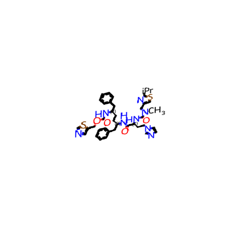 CC(C)c1nc(CN(C)C(=O)N[C@@H](CCn2ccnc2)C(=O)N[C@H](CC[C@H](Cc2ccccc2)NC(=O)OCc2cncs2)Cc2ccccc2)cs1